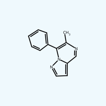 Cc1ncc2ccnn2c1-c1ccccc1